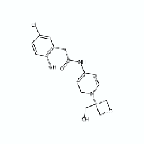 O=C(Cc1cc(Cl)ccc1O)NC1=CCN(C2(CO)COC2)C=C1